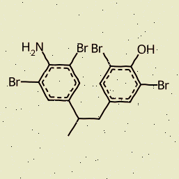 CC(Cc1cc(Br)c(O)c(Br)c1)c1cc(Br)c(N)c(Br)c1